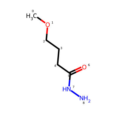 COCCCC(=O)NN